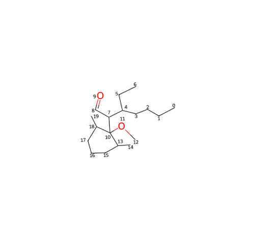 CCCCC(CC)C(C=O)C1(OC)C(C)CCCC1C